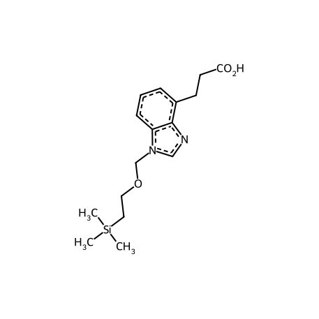 C[Si](C)(C)CCOCn1cnc2c(CCC(=O)O)cccc21